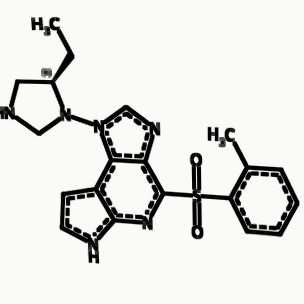 CC[C@@H]1CNCN1n1cnc2c(S(=O)(=O)c3ccccc3C)nc3[nH]ccc3c21